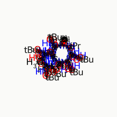 CCC(C)OC(=O)C(C)(C)CC(=O)N[C@@H](CCNC(=O)OC(C)(C)C)C(=O)N[C@H](C(=O)N[C@@H](CCNC(=O)OC(C)(C)C)C(=O)N[C@H]1CCNC(=O)[C@H](C(C)O)NC(=O)[C@H](CCNC(=O)OC(C)(C)C)NC(=O)[C@H](CCNC(=O)OC(C)(C)C)NC(=O)[C@H](CC(C)C)NC(=O)[C@@H](Cc2ccccc2)NC(=O)[C@H](CCNC(=O)OC(C)(C)C)NC1=O)C(C)O